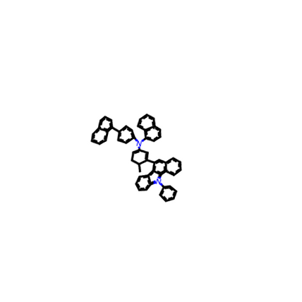 CC1CC=C(N(c2ccc(-c3cccc4ccccc34)cc2)c2cccc3ccccc23)C=C1c1cc2ccccc2c2c1c1ccccc1n2-c1ccccc1